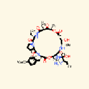 CC[C@H](C)[C@H]1NC(=O)[C@@H](N[C@](C)(O)[C@@H](N)CC(C)C)[C@@H](C)OC(=O)[C@H](Cc2ccc(OC)cc2)N(C)C(=O)[C@@H]2CCCN2C(=O)[C@H](CC(C)C)NC(=O)[C@@H](C)C(=O)[C@H](C(C)C)OC(=O)C[C@@H]1O